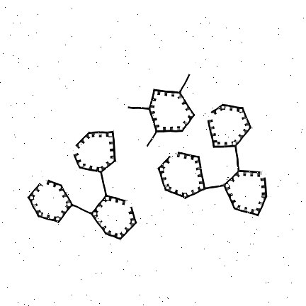 O=C(O)c1cc(S(=O)(=O)O)ccc1O.[Ru].c1cncc(-c2cccnc2-c2cccnc2)c1.c1cncc(-c2cccnc2-c2cccnc2)c1